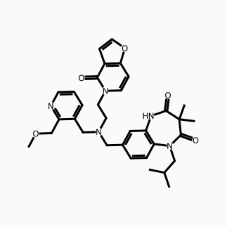 COCc1ncccc1CN(CCn1ccc2occc2c1=O)Cc1ccc2c(c1)NC(=O)C(C)(C)C(=O)N2CC(C)C